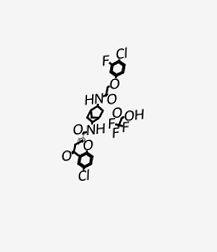 O=C(COc1ccc(Cl)c(F)c1)NC1CC2CC1CC2NC(=O)[C@H]1CC(=O)c2cc(Cl)ccc2O1.O=C(O)C(F)(F)F